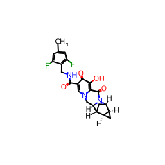 Cc1cc(F)c(CNC(=O)c2cn3c(c(O)c2=O)C(=O)N2[C@H](C3)[C@@H]3C[C@H]2[C@H]2C[C@@H]32)c(F)c1